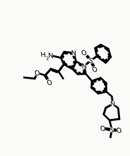 CCOC(=O)/C=C(\C)c1c(N)cnc2c1cc(-c1ccc(CN3CCC(S(C)(=O)=O)CC3)cc1)n2S(=O)(=O)c1ccccc1